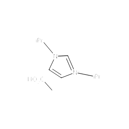 CC(=O)O.CC(C)n1cc[n+](C(C)C)c1